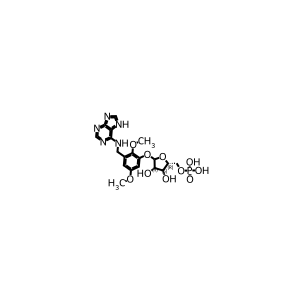 COc1cc(CNc2ncnc3nc[nH]c23)c(OC)c(OC2O[C@H](COP(=O)(O)O)[C@@H](O)[C@H]2O)c1